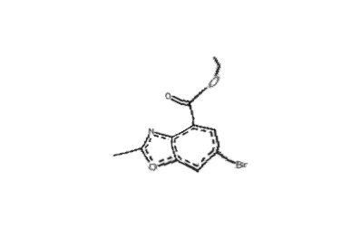 COC(=O)c1cc(Br)cc2oc(C)nc12